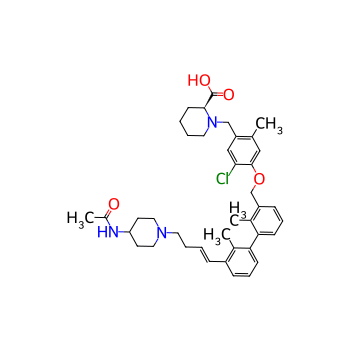 CC(=O)NC1CCN(CC/C=C/c2cccc(-c3cccc(COc4cc(C)c(CN5CCCC[C@H]5C(=O)O)cc4Cl)c3C)c2C)CC1